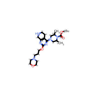 CC1CN(c2nc(OCCCN3CCOCC3)nc3c2CCNC3)CC(C)N1C(=O)OC(C)(C)C